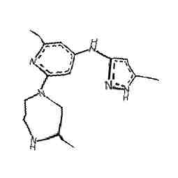 Cc1cc(Nc2cc(C)[nH]n2)cc(N2CCNC(C)C2)n1